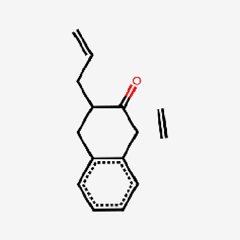 C=C.C=CCC1Cc2ccccc2CC1=O